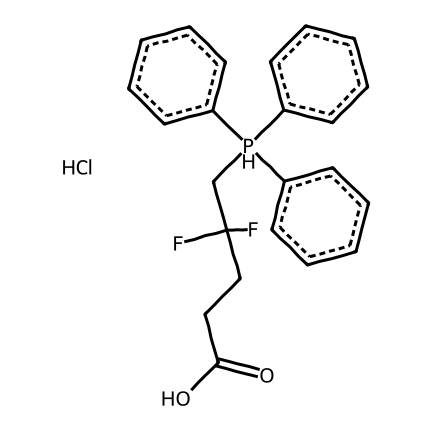 Cl.O=C(O)CCC(F)(F)C[PH](c1ccccc1)(c1ccccc1)c1ccccc1